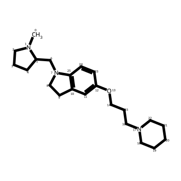 CN1CCCC1CN1CCc2cc(OCCCN3CCCCC3)ccc21